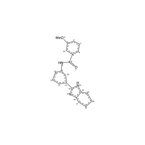 COc1cccc(C(=O)Nc2cccc(-c3nc4ccccc4[nH]3)c2)c1